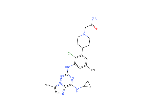 N#Cc1cc(Nc2nc(NC3CC3)c3ncc(C#N)n3n2)c(Cl)c(C2CCN(CC(N)=O)CC2)c1